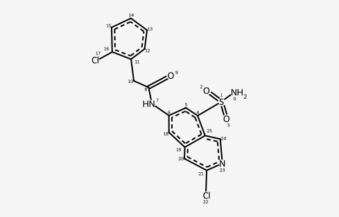 NS(=O)(=O)c1cc(NC(=O)Cc2ccccc2Cl)cc2cc(Cl)ncc12